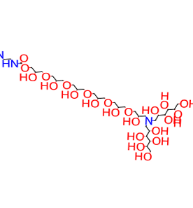 NCCNC(=O)OCC(O)COCC(O)COCC(O)COCC(O)COCC(O)COCC(O)CN(C[C@H](O)[C@@H](O)[C@H](O)[C@H](O)CO)C[C@H](O)[C@@H](O)[C@H](O)[C@H](O)CO